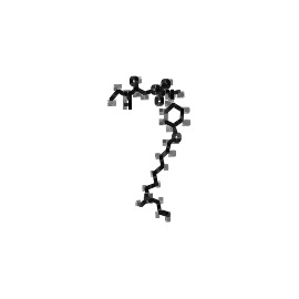 C=CCN(C)CCCCCCCO[C@H]1CC[C@H](N(C)S(=O)(=O)OCC(=O)NCC)CC1